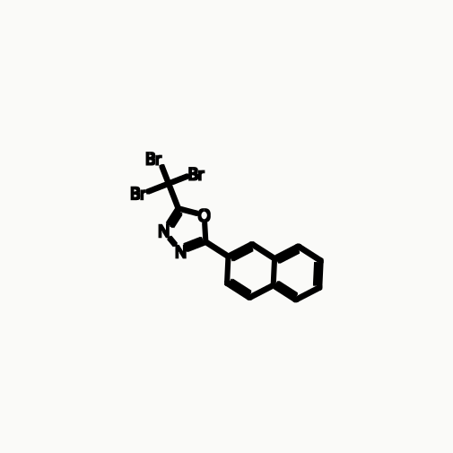 BrC(Br)(Br)c1nnc(-c2ccc3ccccc3c2)o1